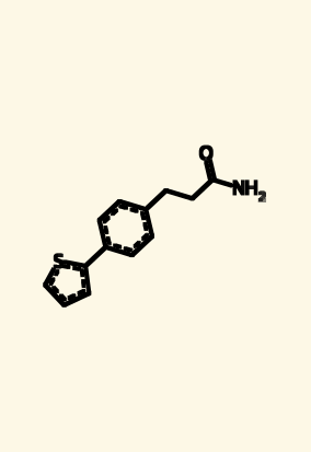 NC(=O)CCc1ccc(-c2cccs2)cc1